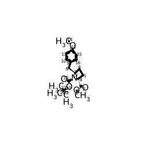 COC(=O)[C@H]1CC[C@H](Cc2ccc(OC)cc2)N1C(=O)OC(C)(C)C